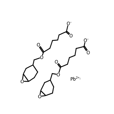 O=C([O-])CCCCC(=O)OCC1CCC2OC2C1.O=C([O-])CCCCC(=O)OCC1CCC2OC2C1.[Pb+2]